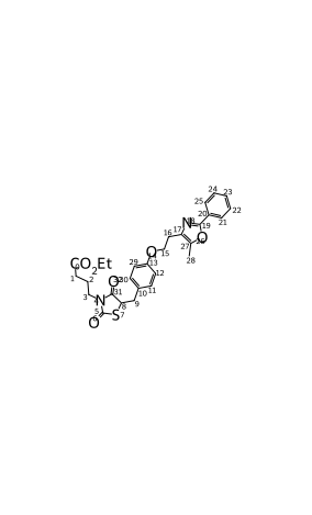 CCOC(=O)CCCN1C(=O)SC(Cc2ccc(OCCc3nc(-c4ccccc4)oc3C)cc2)C1=O